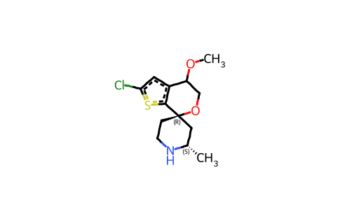 COC1CO[C@@]2(CCN[C@@H](C)C2)c2sc(Cl)cc21